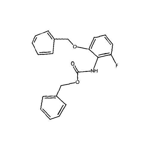 O=C(Nc1c(F)cccc1OCc1ccccc1)OCc1ccccc1